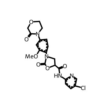 COc1cc(N2CCOCC2=O)ccc1N1CC(C(=O)Nc2ccc(Cl)cn2)OC1=O